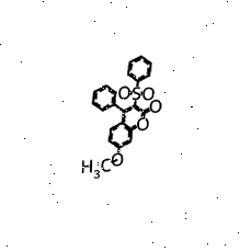 COc1ccc2c(-c3ccccc3)c(S(=O)(=O)c3ccccc3)c(=O)oc2c1